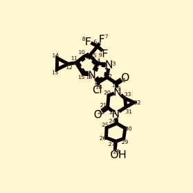 O=C(c1nc2c(C(F)(F)F)cc(C3CC3)cn2c1Cl)N1CC(=O)N(C2CCC(O)CC2)C2CC21